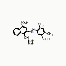 Cc1cc(C)c(S(=O)(=O)O)cc1/N=N/c1cc(S(=O)(=O)O)c2ccccc2c1O.[NaH].[NaH]